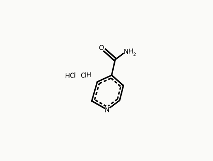 Cl.Cl.NC(=O)c1ccncc1